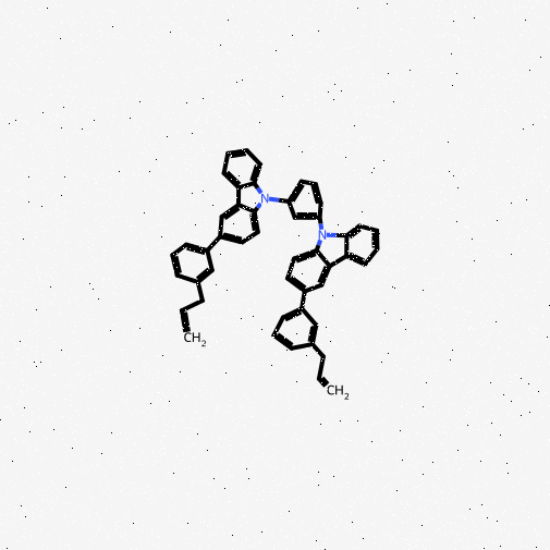 C=CCc1cccc(-c2ccc3c(c2)c2ccccc2n3-c2cccc(-n3c4ccccc4c4cc(-c5cccc(CC=C)c5)ccc43)c2)c1